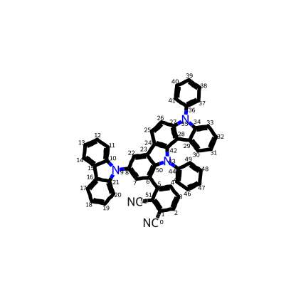 N#Cc1cccc(-c2cc(-n3c4ccccc4c4ccccc43)cc3c4ccc5c(c6ccccc6n5-c5ccccc5)c4n(-c4ccccc4)c23)c1C#N